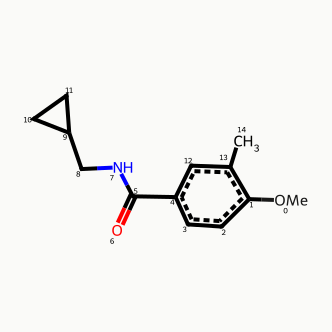 COc1ccc(C(=O)NCC2CC2)cc1C